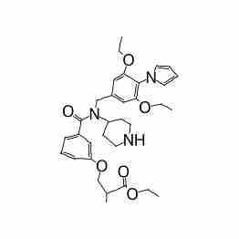 CCOC(=O)C(C)COc1cccc(C(=O)N(Cc2cc(OCC)c(-n3cccc3)c(OCC)c2)C2CCNCC2)c1